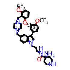 NC1(C(=O)NCCCn2cc(-c3ccc(OC(F)(F)F)cc3)c3cc(CN4CCN(Cc5c(OC(F)(F)F)cccc5OC(F)(F)F)CC4)ccc32)CCNCC1